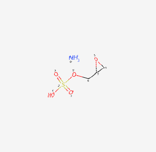 N.O=S(=O)(O)OCC1CO1